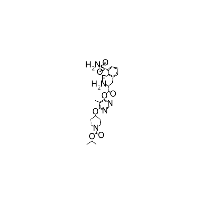 Cc1c(OC(=O)[C@@H](N)Cc2cccc(S(N)(=O)=O)c2F)ncnc1OC1CCN(C(=O)OC(C)C)CC1